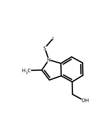 Cc1cc2c(CO)cccc2n1SI